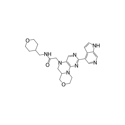 O=C(CN1CC2COCCN2c2nc(-c3cncc4[nH]ccc34)ncc21)NCC1CCOCC1